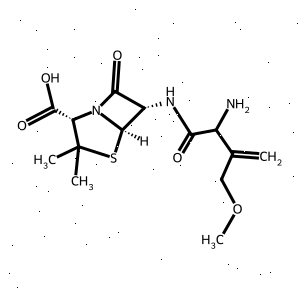 C=C(COC)C(N)C(=O)N[C@H]1C(=O)N2[C@@H]1SC(C)(C)[C@@H]2C(=O)O